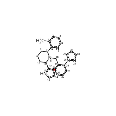 Cc1cccnc1[C@@H]1CCC[C@H](c2ncc[nH]2)N1Cc1ccccc1-n1cccn1